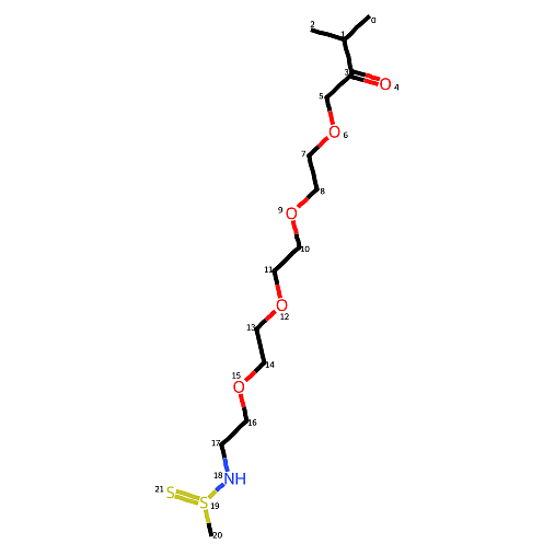 CC(C)C(=O)COCCOCCOCCOCCNS(C)=S